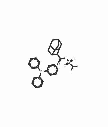 O=C(OS(=O)(=O)C(F)F)C1C2CC3CC(C2)CC1C3.c1ccc([S+](c2ccccc2)c2ccccc2)cc1